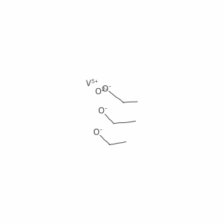 CC[O-].CC[O-].CC[O-].[O-2].[V+5]